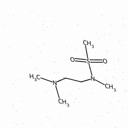 CN(C)[CH]CN(C)S(C)(=O)=O